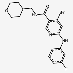 CC(C)c1cc(Nc2cccc(F)c2)ncc1C(=O)NCC1CCOCC1